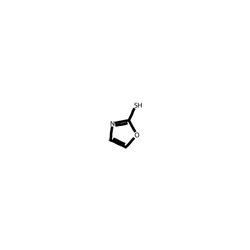 Sc1n[c]co1